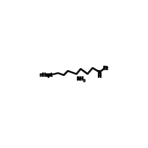 CCCCCCCCCCCCCCNCC.N